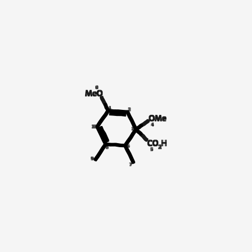 COC1=CC(OC)(C(=O)O)C(C)C(C)=C1